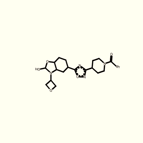 CC(C)C(=O)N1CCC(c2noc(C3CCC4OC(O)N(C5COC5)C4C3)n2)CC1